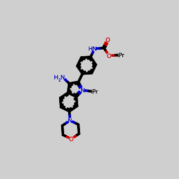 CC(C)OC(=O)Nc1ccc(-c2c(N)c3ccc(N4CCOCC4)cc3n2C(C)C)cc1